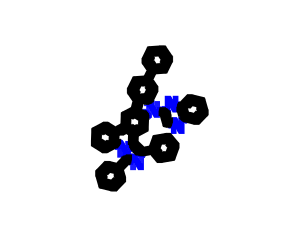 c1ccc(-c2ccc3c4cc5c6ccccc6n6c(-c7ccccc7)nc(-c7ccccc7)c6c5cc4n(-c4cnc5ccccc5n4)c3c2)cc1